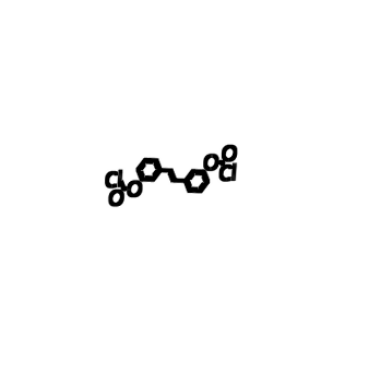 O=C(Cl)Oc1cccc(C=Cc2cccc(OC(=O)Cl)c2)c1